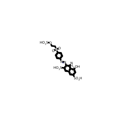 Nc1c(/N=N/c2ccc(S(=O)(=O)CCOS(=O)(=O)O)cc2)c(S(=O)(=O)O)cc2cc(S(=O)(=O)O)cc(O)c12